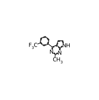 Cc1nc(-c2cccc(C(F)(F)F)c2)c2cc[nH]c2n1